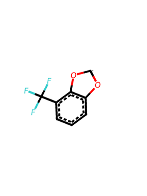 FC(F)(F)c1cccc2c1O[CH]O2